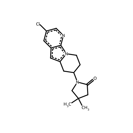 CC1(C)CC(=O)N(C2CCn3c(cc4cc(Cl)cnc43)C2)C1